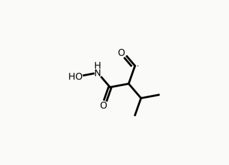 CC(C)C([C]=O)C(=O)NO